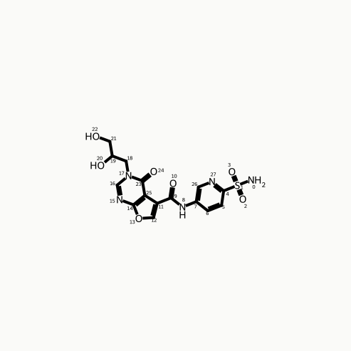 NS(=O)(=O)c1ccc(NC(=O)c2coc3ncn(CC(O)CO)c(=O)c23)cn1